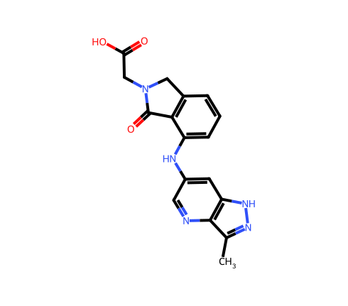 Cc1n[nH]c2cc(Nc3cccc4c3C(=O)N(CC(=O)O)C4)cnc12